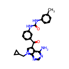 Cc1cccc(NC(=O)Nc2cccc(C(=O)c3cn(CC4CC4)c4ncnc(N)c34)c2)c1